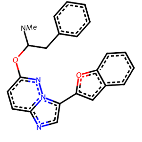 CNC(Cc1ccccc1)Oc1ccc2ncc(-c3cc4ccccc4o3)n2n1